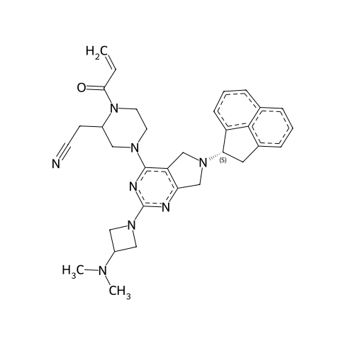 C=CC(=O)N1CCN(c2nc(N3CC(N(C)C)C3)nc3c2CN([C@H]2Cc4cccc5cccc2c45)C3)CC1CC#N